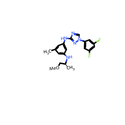 COC[C@@H](C)Nc1cc(C)cc(Nc2ncn(-c3cc(F)cc(F)c3)n2)c1